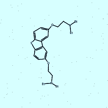 CCN(CC)CCOc1ccc2sc3ccc(OCCN(CC)CC)cc3c2c1